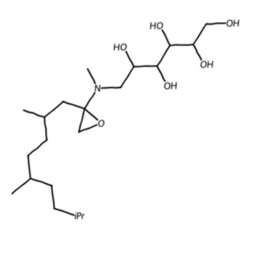 CC(C)CCC(C)CCC(C)CC1(N(C)CC(O)C(O)C(O)C(O)CO)CO1